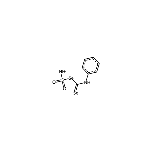 [NH]S(=O)(=O)[Se]C(=[Se])Nc1ccccc1